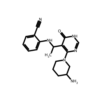 CC(Nc1ccccc1C#N)c1c(N2CCCC(N)C2)nc[nH]c1=O